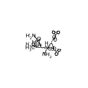 CNC(C)CCCC(CCCN[C@H](C=O)CCCCN)CCCN[C@@H](CCCCN)C(=O)CCCC(CCCC(=O)OCC1c2ccccc2-c2ccccc21)CCCC(=O)OCC1c2ccccc2-c2ccccc21